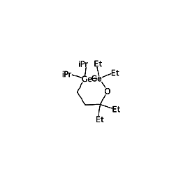 CCC1(CC)C[CH2][Ge]([CH](C)C)([CH](C)C)[Ge]([CH2]C)([CH2]C)[O]1